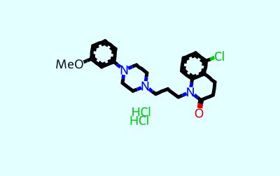 COc1cccc(N2CCN(CCCN3C(=O)CCc4c(Cl)cccc43)CC2)c1.Cl.Cl